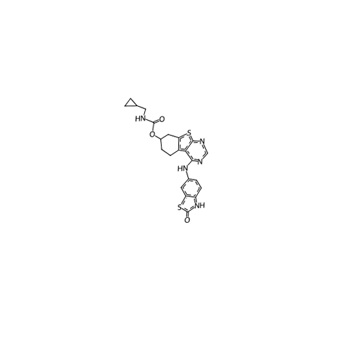 O=C(NCC1CC1)OC1CCc2c(sc3ncnc(Nc4ccc5[nH]c(=O)sc5c4)c23)C1